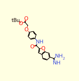 CC(C)(C)OC(=O)COc1ccc(NC(=O)c2cc3ccc(C(=N)N)cc3o2)cc1